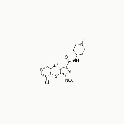 CN1CCC(NC(=O)c2nc([N+](=O)[O-])c(Sc3c(Cl)cncc3Cl)s2)CC1